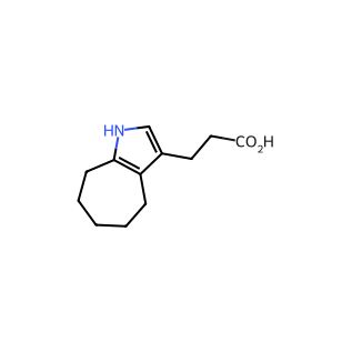 O=C(O)CCc1c[nH]c2c1CCCCC2